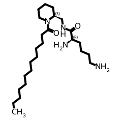 CCCCCCCCCCCCC(=O)N1CCCC[C@H]1CNC(=O)[C@H](N)CCCCN